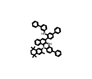 Cc1cc2c(cc1N1c3ccc(-c4ccccc4)cc3Bc3c(-c4ccc(-c5ccccc5)cc4Nc4cccc(-c5ccccc5)c4)cc4ccccc4c31)C(C)(C)CCC2(C)C